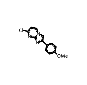 COc1ccc(-c2cn3ccc(Cl)nc3n2)cc1